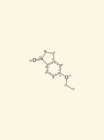 CCOc1ccc2c(c1)CCC2=O